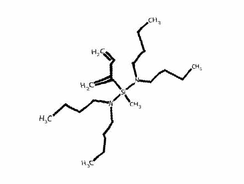 C=CC(=C)[Si](C)(N(CCCC)CCCC)N(CCCC)CCCC